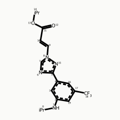 CC(C)Nc1cc(-c2ncn(/C=C/C(=O)OC(C)C)n2)cc(C(F)(F)F)c1